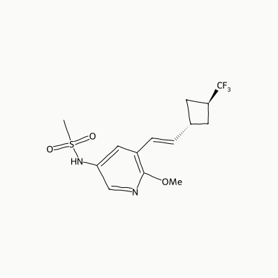 COc1ncc(NS(C)(=O)=O)cc1/C=C/[C@H]1C[C@H](C(F)(F)F)C1